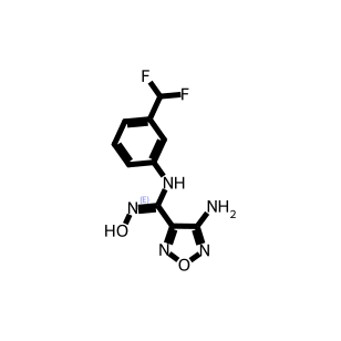 Nc1nonc1/C(=N\O)Nc1cccc(C(F)F)c1